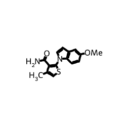 COc1ccc2c(ccn2-c2scc(C)c2C(N)=O)c1